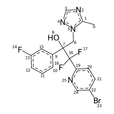 Cc1ncnn1CC(O)(c1cccc(F)c1)C(F)(F)c1ccc(Br)cn1